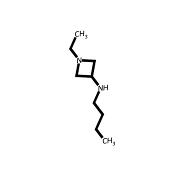 CCCCNC1CN(CC)C1